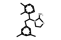 Cc1cc(C)cc(CC(c2cccc(C)c2C)N2CCSC2N)c1